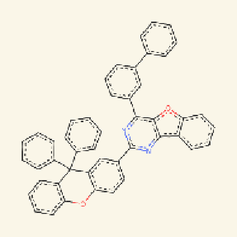 c1ccc(-c2cccc(-c3nc(-c4ccc5c(c4)C(c4ccccc4)(c4ccccc4)c4ccccc4O5)nc4c3oc3ccccc34)c2)cc1